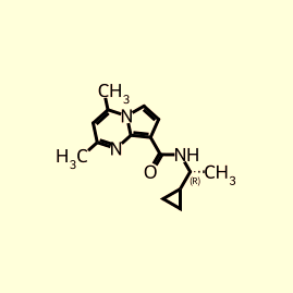 Cc1cc(C)n2ccc(C(=O)N[C@H](C)C3CC3)c2n1